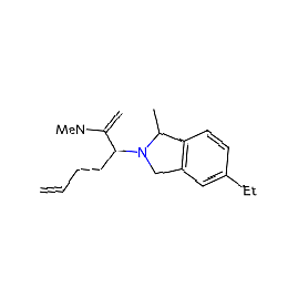 C=CCCC(C(=C)NC)N1Cc2cc(CC)ccc2C1C